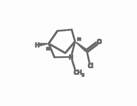 CN1C[C@H]2CC[C@]1(C(=O)Cl)C2